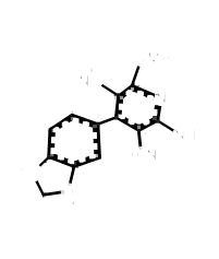 CSc1nc(N)c(C#N)c(-c2ccc3c(c2)OCO3)c1C#N